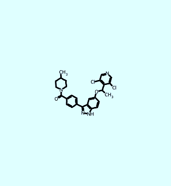 CC1CCN(C(=O)c2ccc(-c3n[nH]c4ccc(OC(C)c5c(Cl)cncc5Cl)cc34)cc2)CC1